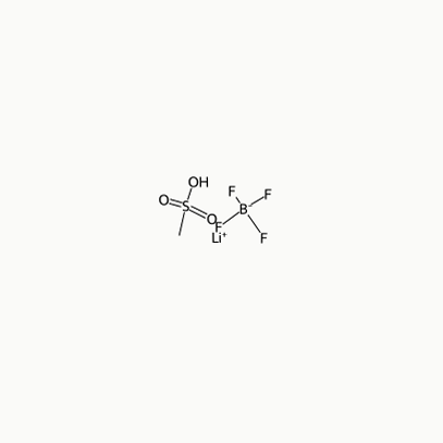 CS(=O)(=O)O.F[B-](F)(F)F.[Li+]